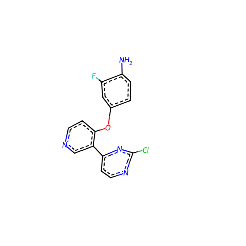 Nc1ccc(Oc2ccncc2-c2ccnc(Cl)n2)cc1F